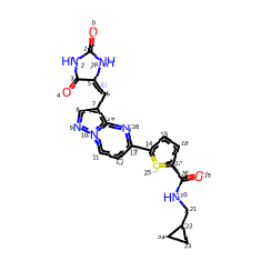 O=C1NC(=O)/C(=C\c2cnn3ccc(-c4ccc(C(=O)NCC5CC5)s4)nc23)N1